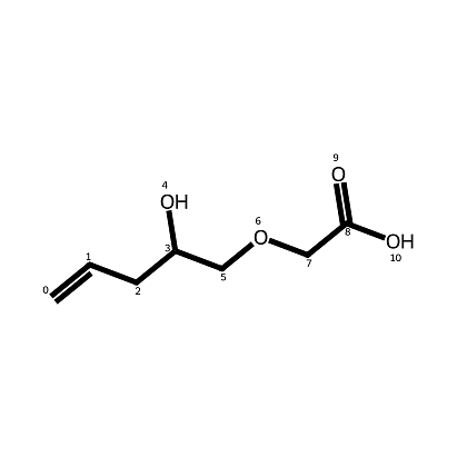 C=CCC(O)COCC(=O)O